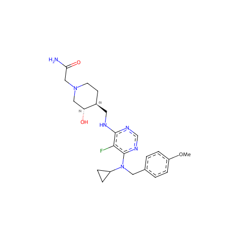 COc1ccc(CN(c2ncnc(NC[C@@H]3CCN(CC(N)=O)C[C@H]3O)c2F)C2CC2)cc1